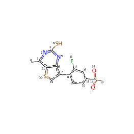 Cc1nc(S)nc2c(-c3ccc(S(C)(=O)=O)cc3F)csc12